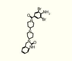 Nc1c(Br)cc(C(=O)N2CCC(N3CCC(N4Cc5ccccc5NC4=O)CC3)CC2)cc1Br